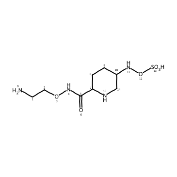 NCCONC(=O)C1CCC(NOS(=O)(=O)O)CN1